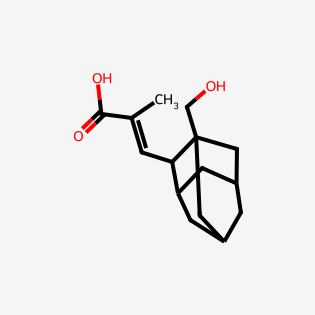 CC(=CC1C2CC3CC(C2)CC1(CO)C3)C(=O)O